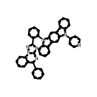 c1ccc(-c2nc3nc(-c4ccccc4-n4c5ccccc5c5cc6c(cc54)c4ccccc4n6-c4ccncc4)nn3c3ccccc23)cc1